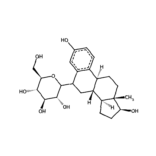 C[C@]12CC[C@@H]3c4ccc(O)cc4C(C4O[C@H](CO)[C@@H](O)[C@H](O)[C@H]4O)C[C@H]3[C@@H]1CC[C@@H]2O